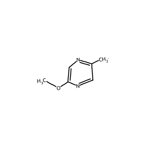 [CH2]c1cnc(OC)cn1